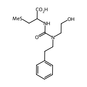 CSCC(NC(=O)N(CCO)CCc1ccccc1)C(=O)O